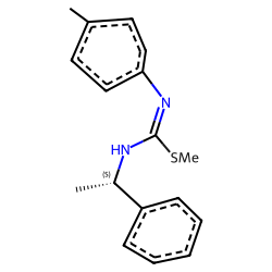 CSC(=Nc1ccc(C)cc1)N[C@@H](C)c1ccccc1